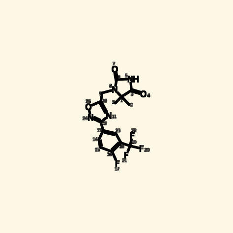 CC1(C)C(=O)NC(=O)N1Cc1nc(-c2ccc(F)c(C(F)(F)F)c2)no1